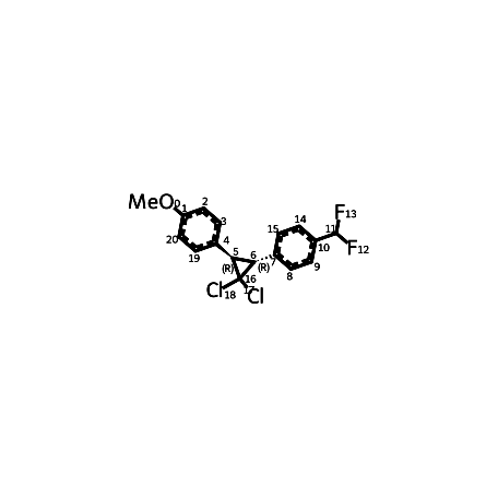 COc1ccc([C@H]2[C@H](c3ccc(C(F)F)cc3)C2(Cl)Cl)cc1